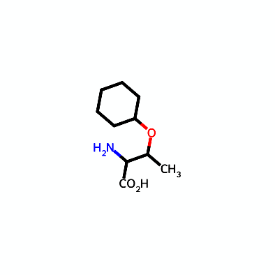 CC(OC1CCCCC1)C(N)C(=O)O